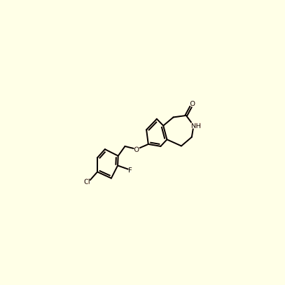 O=C1Cc2ccc(OCc3ccc(Cl)cc3F)cc2CCN1